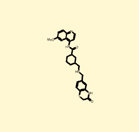 COc1ccc2nccc(NC(=O)C3CCCC(CNCc4ccc5c(c4)NC(=O)CS5)C3)c2c1